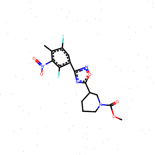 COC(=O)N1CCCC(c2nc(-c3cc(F)c(C)c([N+](=O)[O-])c3F)no2)C1